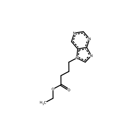 CCOC(=O)CCCn1cnc2ncncc21